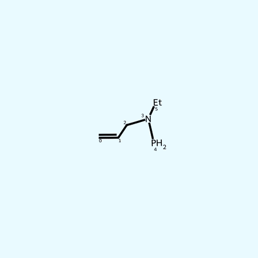 C=CCN(P)CC